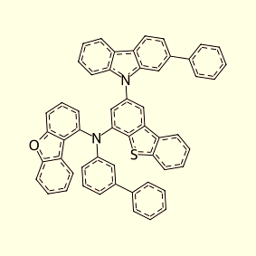 c1ccc(-c2cccc(N(c3cc(-n4c5ccccc5c5ccc(-c6ccccc6)cc54)cc4c3sc3ccccc34)c3cccc4oc5ccccc5c34)c2)cc1